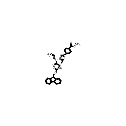 C=CCOC(=O)[C@H](Cc1nnc(-c2ccc(C(=O)OC)cc2)s1)NC(=O)OCC1c2ccccc2-c2ccccc21